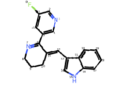 Fc1cncc(C2=NCCCC2=Cc2c[nH]c3ccccc23)c1